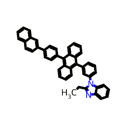 CCc1nc2ccccc2n1-c1cccc(-c2c3ccccc3c(-c3ccc(-c4ccc5ccccc5c4)cc3)c3ccccc23)c1